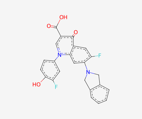 O=C(O)c1cn(-c2ccc(O)c(F)c2)c2cc(N3Cc4ccccc4C3)c(F)cc2c1=O